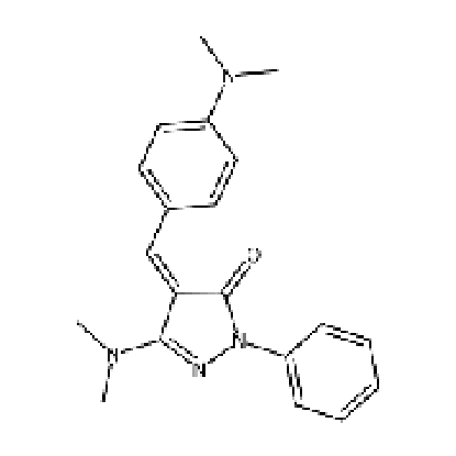 CN(C)C1=NN(c2ccccc2)C(=O)C1=Cc1ccc(N(C)C)cc1